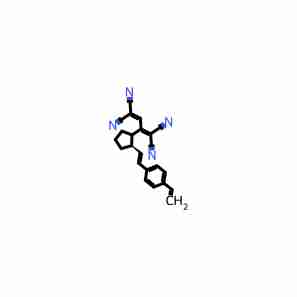 C=Cc1ccc(C=C[C@H]2CCCC2C(C=C(C#N)C#N)=C(C#N)C#N)cc1